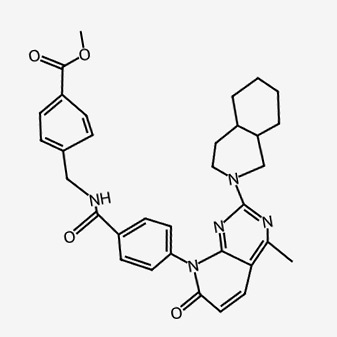 COC(=O)c1ccc(CNC(=O)c2ccc(-n3c(=O)ccc4c(C)nc(N5CCC6CCCCC6C5)nc43)cc2)cc1